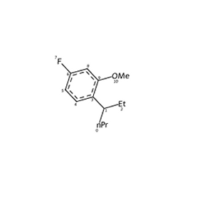 CCCC(CC)c1ccc(F)cc1OC